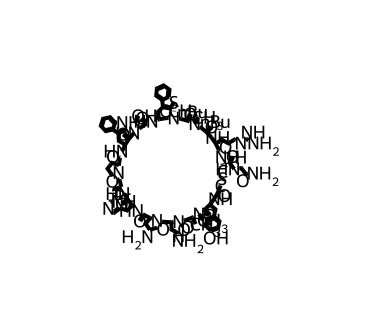 CCCCC1C(=O)N(C)C(CCCC)C(=O)NC(CCCNC(=N)N)C(=O)N[C@H](C(=O)NCC(N)=O)CSCC(=O)NC(Cc2ccc(O)cc2)C(=O)N(C)C(C)C(=O)NC(CC(N)=O)C(=O)N2CC(N)CC2C(=O)NC(Cc2cnc[nH]2)C(=O)NC(CC(C)C)C(=O)N2CCCC2C(=O)NC(Cc2c[nH]c3ccccc23)C(=O)N[C@@H](CO)C(=O)NC(Cc2csc3ccccc23)C(=O)N1C